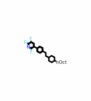 CCCCCCCCC1CCC(CCc2ccc(-c3cc(F)c(F)nc3F)cc2)CC1